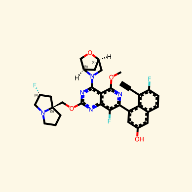 C#Cc1c(F)ccc2cc(O)cc(-c3nc(OC)c4c(N5C[C@H]6C[C@@H]5CO6)nc(OC[C@@]56CCCN5C[C@H](F)C6)nc4c3F)c12